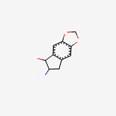 NC1Cc2cc3c(cc2C1O)OCO3